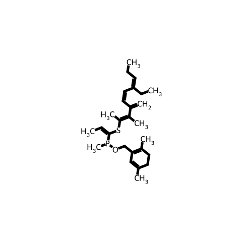 C=C(/C=C\C(=C/CC)CC)/C(C)=C(\C)S/C(=C/C)P(C)OCC1=C(C)CCC(C)=C1